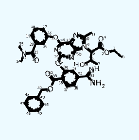 CCOC(=O)C(C(C)O)n1c(C)nc2c(Oc3cccc(C(=O)N(C)C)c3)nc(Oc3cc(C(=N)N)ccc3C(=O)OCc3ccccc3)nc21